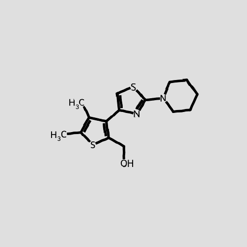 Cc1sc(CO)c(-c2csc(N3CCCCC3)n2)c1C